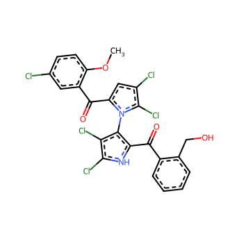 COc1ccc(Cl)cc1C(=O)c1cc(Cl)c(Cl)n1-c1c(C(=O)c2ccccc2CO)[nH]c(Cl)c1Cl